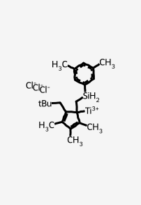 CC1=C(C)[C]([Ti+3])(C[SiH2]c2cc(C)cc(C)c2)C(CC(C)(C)C)=C1C.[Cl-].[Cl-].[Cl-]